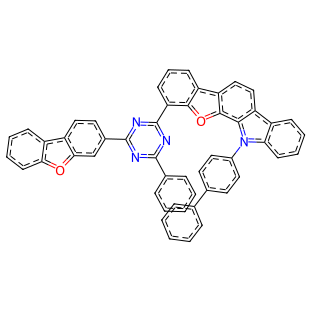 c1ccc(-c2ccc(-n3c4ccccc4c4ccc5c6cccc(-c7nc(-c8ccccc8)nc(-c8ccc9c(c8)oc8ccccc89)n7)c6oc5c43)cc2)cc1